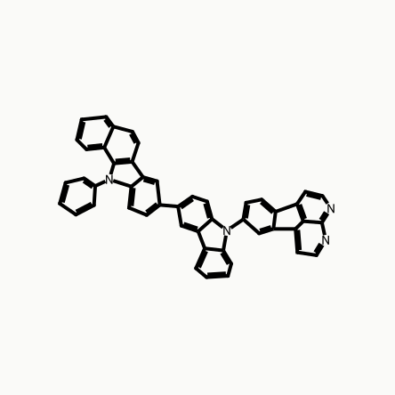 c1ccc(-n2c3ccc(-c4ccc5c(c4)c4ccccc4n5-c4ccc5c(c4)-c4ccnc6nccc-5c46)cc3c3ccc4ccccc4c32)cc1